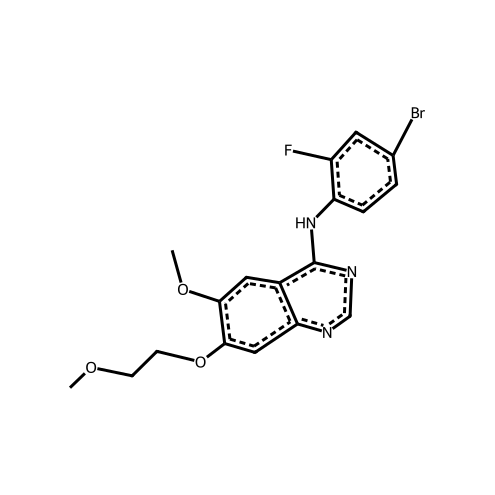 COCCOc1cc2ncnc(Nc3ccc(Br)cc3F)c2cc1OC